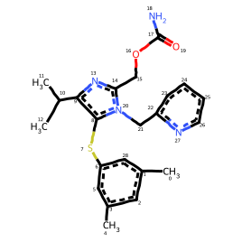 Cc1cc(C)cc(Sc2c(C(C)C)nc(COC(N)=O)n2Cc2ccccn2)c1